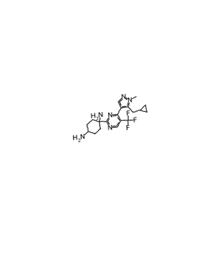 Cn1ncc(-c2nc(C3(N)CCC(N)CC3)ncc2C(F)(F)F)c1CC1CC1